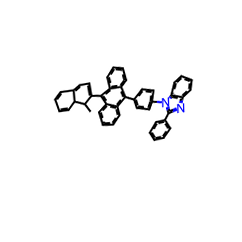 CC1C(c2c3ccccc3c(-c3ccc(-n4c(-c5ccccc5)nc5ccccc54)cc3)c3ccccc23)=CC=C2C=CC=CC21